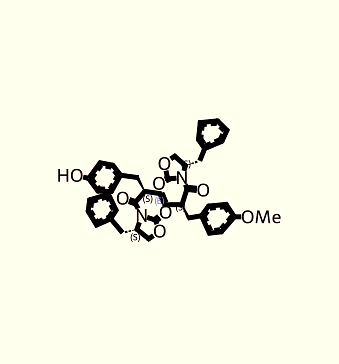 COc1ccc(C[C@@H](/C=C/[C@H](Cc2ccc(O)cc2)C(=O)N2C(=O)OC[C@@H]2Cc2ccccc2)C(=O)N2C(=O)OC[C@@H]2Cc2ccccc2)cc1